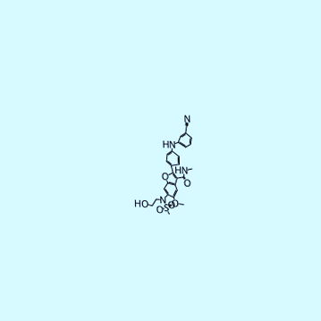 CNC(=O)c1c(-c2ccc(Nc3cccc(C#N)c3)cc2)oc2cc(N(CCO)S(C)(=O)=O)c(OC)cc12